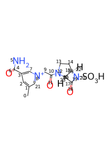 Cc1cc(C(N)=O)c[n+](CC(=O)N2CC[C@@H]3[C@H]2C(=O)N3S(=O)(=O)O)c1